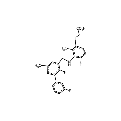 Cc1cc(CNc2c(F)ccc(OCC(=O)O)c2C)c(F)c(-c2cccc(F)c2)c1